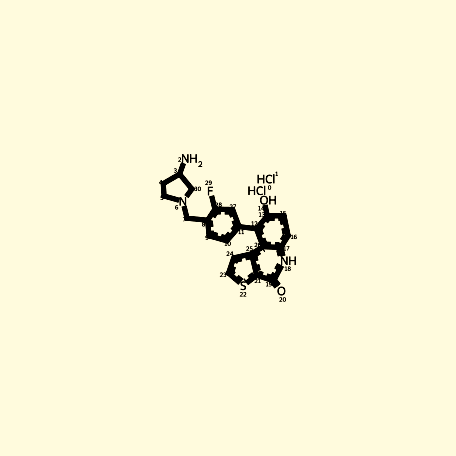 Cl.Cl.NC1CCN(Cc2ccc(-c3c(O)ccc4[nH]c(=O)c5sccc5c34)cc2F)C1